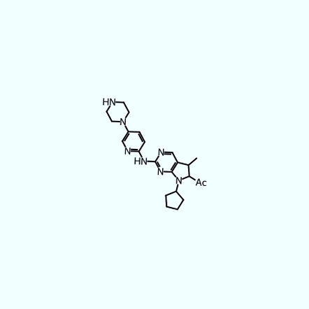 CC(=O)C1C(C)c2cnc(Nc3ccc(N4CCNCC4)cn3)nc2N1C1CCCC1